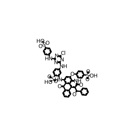 O=C(c1ccccc1)c1c2c3c(c(Nc4cc(Nc5nc(Cl)nc(Nc6ccc(S(=O)(=O)O)cc6)n5)ccc4S(=O)(=O)O)cc(Oc4ccc(S(=O)(=O)O)cc4)c3[nH]c1=O)C(=O)c1ccccc1-2